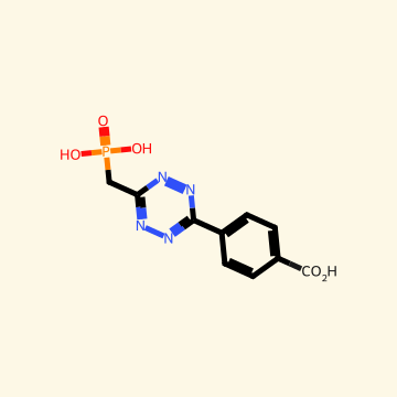 O=C(O)c1ccc(-c2nnc(CP(=O)(O)O)nn2)cc1